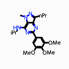 CCCc1nn(C)c2c(NC(C)C)nc(-c3cc(OC)c(OC)c(OC)c3)nc12